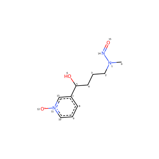 CN(CCCC(O)c1ccc[n+]([O-])c1)N=O